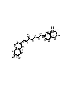 O=C(C=Cc1cnc2cc(F)c(F)cc2c1)CCCCc1ccc2c(n1)NCCC2